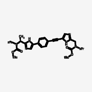 CCCN(Cc1ncc(C#Cc2ccc(-c3cnc([C@H](C)N(CCC)C(=O)OC(C)(C)C)[nH]3)cc2)[nH]1)C(=O)OC(C)(C)C